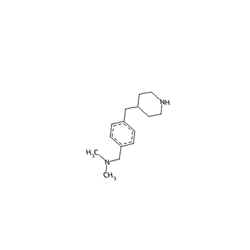 CN(C)Cc1ccc(CC2CCNCC2)cc1